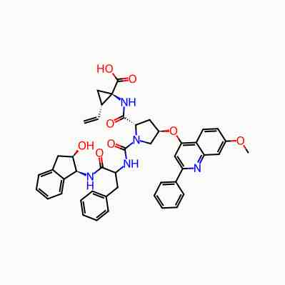 C=C[C@@H]1C[C@]1(NC(=O)[C@@H]1C[C@@H](Oc2cc(-c3ccccc3)nc3cc(OC)ccc23)CN1C(=O)NC(Cc1ccccc1)C(=O)N[C@H]1c2ccccc2C[C@H]1O)C(=O)O